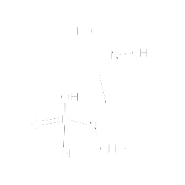 CN(C)CCN(C=O)P(=O)(O)O